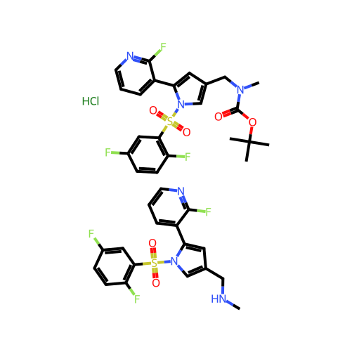 CN(Cc1cc(-c2cccnc2F)n(S(=O)(=O)c2cc(F)ccc2F)c1)C(=O)OC(C)(C)C.CNCc1cc(-c2cccnc2F)n(S(=O)(=O)c2cc(F)ccc2F)c1.Cl